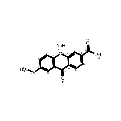 CSc1ccc2oc3cc(C(=O)O)ccc3c(=O)c2c1.[NaH]